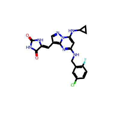 O=C1NC(=O)/C(=C/c2cnn3c(NC4CC4)cc(NCc4cc(Cl)ccc4F)nc23)N1